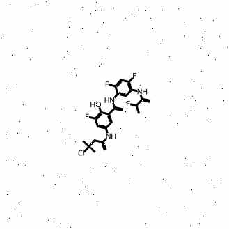 C=C(CC(C)(C)Cl)Nc1cc(F)c(O)c(C(=C)Nc2cc(NC(=C)C(C)F)c(F)cc2F)c1